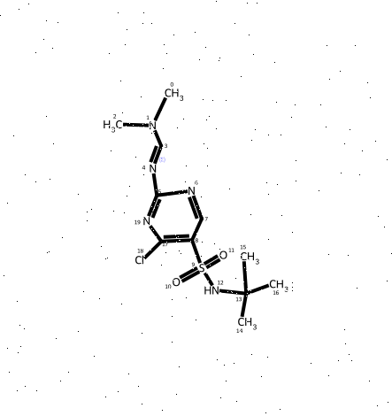 CN(C)/C=N/c1ncc(S(=O)(=O)NC(C)(C)C)c(Cl)n1